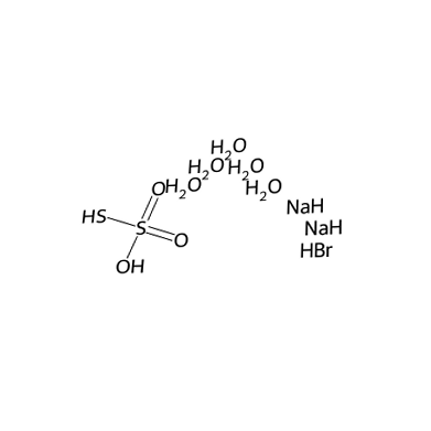 Br.O.O.O.O.O.O=S(=O)(O)S.[NaH].[NaH]